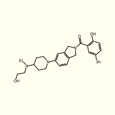 CCN(CCO)C1CCN(c2ccc3c(c2)CN(C(=O)c2cc(C(C)C)ccc2O)C3)CC1